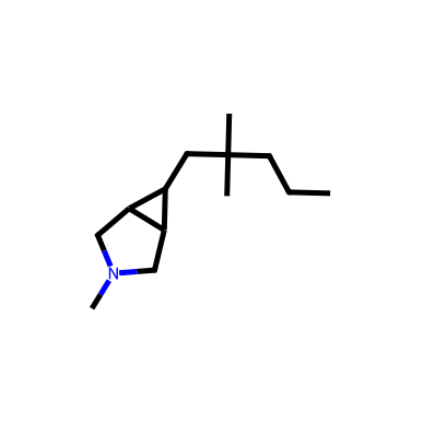 CCCC(C)(C)CC1C2CN(C)CC21